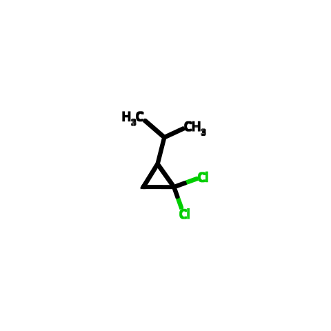 CC(C)C1CC1(Cl)Cl